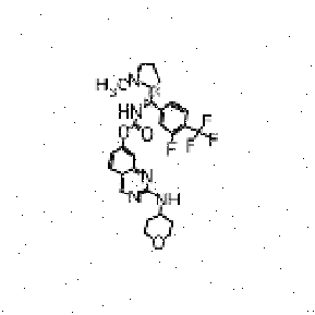 CN1CCC[C@@H]1[C@@H](NC(=O)Oc1ccc2cnc(NC3CCOCC3)nc2c1)c1ccc(C(F)(F)F)c(F)c1